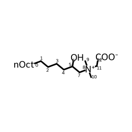 CCCCCCCCCCCCC(O)C[N+](C)(C)CC(=O)[O-]